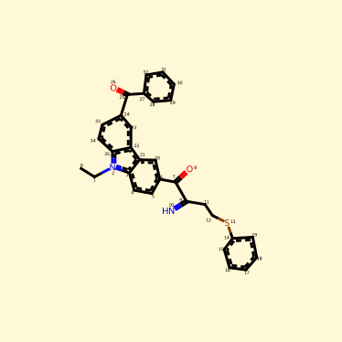 CCn1c2ccc(C(=O)C(=N)CCSc3ccccc3)cc2c2cc(C(=O)c3ccccc3)ccc21